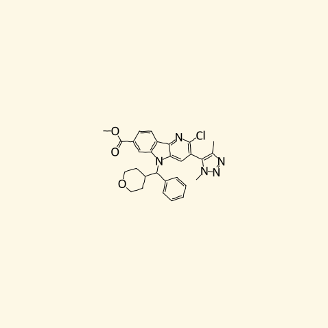 COC(=O)c1ccc2c3nc(Cl)c(-c4c(C)nnn4C)cc3n(C(c3ccccc3)C3CCOCC3)c2c1